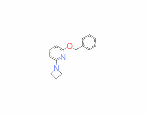 c1ccc(COc2cccc(N3CCC3)n2)cc1